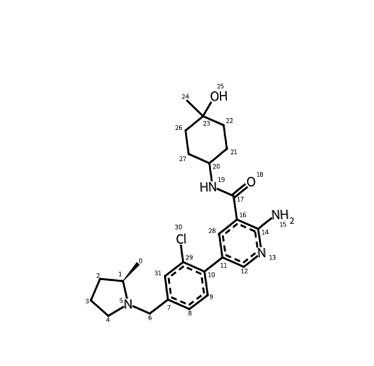 C[C@@H]1CCCN1Cc1ccc(-c2cnc(N)c(C(=O)NC3CCC(C)(O)CC3)c2)c(Cl)c1